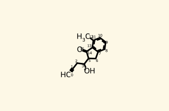 C#CCC(O)C1Cc2cccc(C)c2C1=O